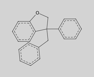 c1ccc(CC2(c3ccccc3)COc3ccccc32)cc1